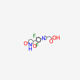 O=C(O)CC1CN(c2cc(F)c(C3CCC(=O)NC3=O)c(F)c2)C1